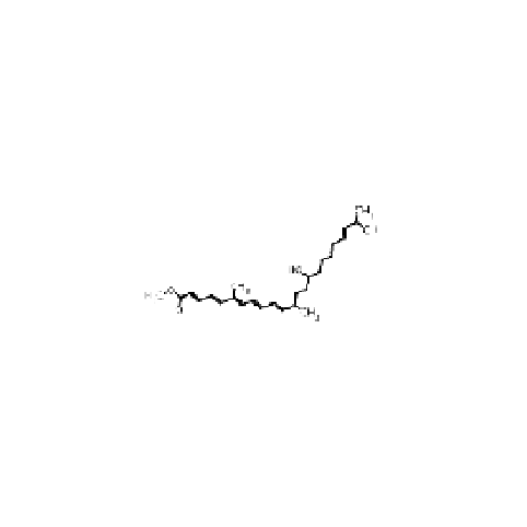 COC(=O)/C=C/C=C/C(C)=C/C=C/C=C/C(C)CCC(O)CC/C=C/C=C/C(C)C